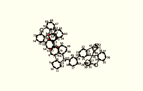 c1ccc(-c2ccc(-c3ccccc3N(c3cccc(-c4ccc5c(c4)C4(c6ccccc6Oc6ccccc64)c4ccccc4-5)c3)c3cccc(-c4cccc5c4-c4ccccc4C54c5ccccc5Oc5ccccc54)c3)cc2)cc1